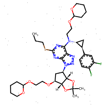 CCCSc1nc(N(CCOC2CCCCO2)[C@@H]2C[C@H]2c2ccc(F)c(F)c2)c2nnn([C@@H]3C[C@H](OCCOC4CCCCO4)[C@H]4OC(C)(C)O[C@H]43)c2n1